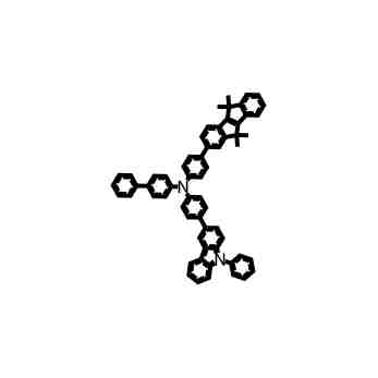 CC1(C)C2=C(c3ccccc31)C(C)(C)c1cc(-c3ccc(N(c4ccc(-c5ccccc5)cc4)c4ccc(-c5ccc6c(c5)c5ccccc5n6-c5ccccc5)cc4)cc3)ccc12